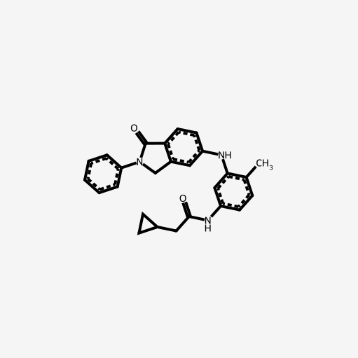 Cc1ccc(NC(=O)CC2CC2)cc1Nc1ccc2c(c1)CN(c1ccccc1)C2=O